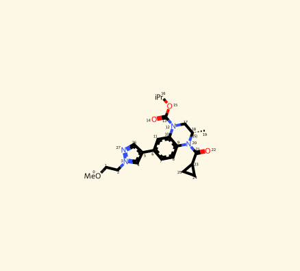 COCCn1cc(-c2ccc3c(c2)N(C(=O)OC(C)C)C[C@H](C)N3C(=O)C2CC2)cn1